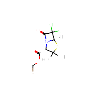 CC1(C)S[C@H]2N(C(=O)C2(Cl)Cl)[C@H]1C(=O)OCBr